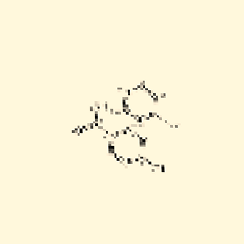 CCc1ccc(C(N)=O)nc1.Fc1ccccc1